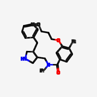 CCc1ccc(C(=O)N(CC2CNCC2Cc2ccccc2)C(C)C)cc1OCCCOC